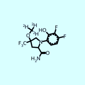 [2H]C([2H])([2H])OC1(C(F)(F)F)CC(C(N)=O)N(c2ccc(F)c(F)c2O)C1